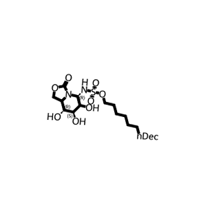 CCCCCCCCCCCCCCCCOS(=O)(=O)N[C@@H]1C(O)[C@@H](O)[C@H](O)C2COC(=O)N21